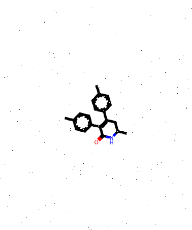 Cc1ccc(C2=C(c3ccc(C)cc3)C(=O)NC(C)C2)cc1